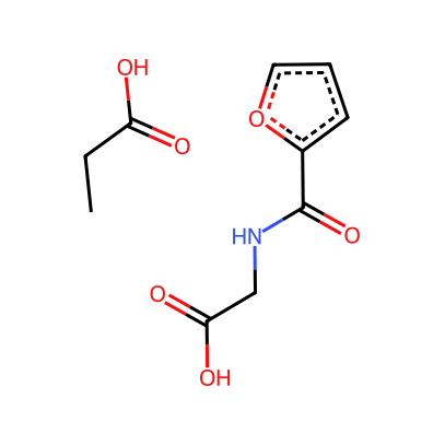 CCC(=O)O.O=C(O)CNC(=O)c1ccco1